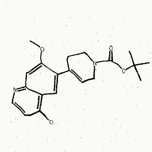 COc1cc2nccc(Cl)c2cc1C1=CCN(C(=O)OC(C)(C)C)CC1